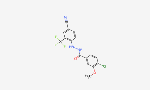 COc1cc(C(=O)NNc2ccc(C#N)cc2C(F)(F)F)ccc1Cl